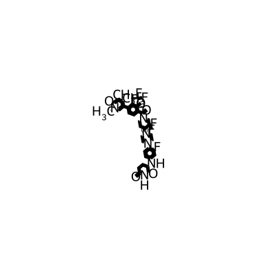 Cc1c(-c2ccc(C(=O)N3CC[C@H](N4CCN(c5ccc(NC6CCC(=O)NC6=O)cc5F)CC4)C(F)(F)C3)c(OC(F)(F)F)c2)cn(C)c(=O)c1C